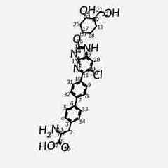 N[C@@H](Cc1ccc(-c2ccc(-c3nc4nc(O[C@H]5CC[C@H](CO)[C@@H](O)C5)[nH]c4cc3Cl)cc2)cc1)C(=O)O